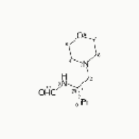 CC(C)[C@@H](CN1CCOCC1)NC=O